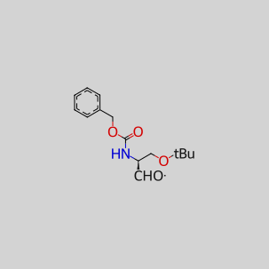 CC(C)(C)OC[C@@H]([C]=O)NC(=O)OCc1ccccc1